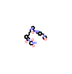 O=C1CCC(N2Cc3c(CCCCN4CCCC4C(=O)NCc4ccc(CN5CCOCC5)cc4)cccc3C2=O)C(=O)N1